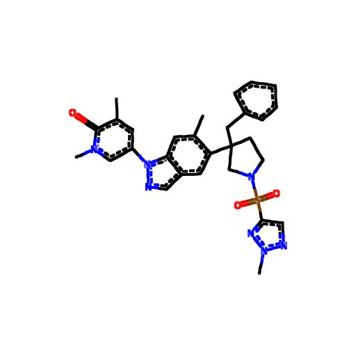 Cc1cc2c(cnn2-c2cc(C)c(=O)n(C)c2)cc1C1(Cc2ccccc2)CCN(S(=O)(=O)c2cnn(C)n2)C1